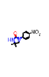 CC1(C)CN(c2ccc([N+](=O)[O-])cc2)C(=O)N1